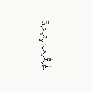 CN(C)CC(O)CCCOCCCCCO